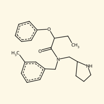 CCC(Oc1ccccc1)C(=O)N(Cc1cccc(C)c1)CC1CCCN1